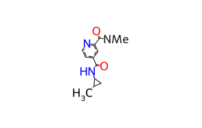 CNC(=O)c1cc(C(=O)N[C@H]2C[C@@H]2C)ccn1